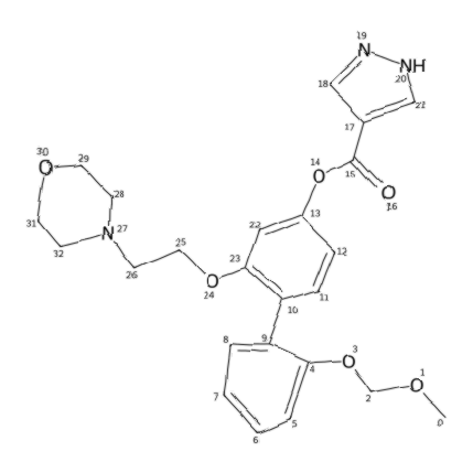 COCOc1ccccc1-c1ccc(OC(=O)c2cn[nH]c2)cc1OCCN1CCOCC1